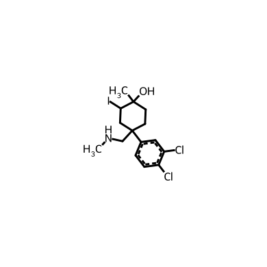 CNCC1(c2ccc(Cl)c(Cl)c2)CCC(C)(O)C(I)C1